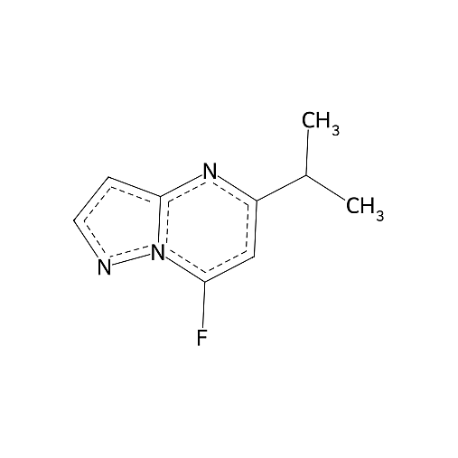 CC(C)c1cc(F)n2nccc2n1